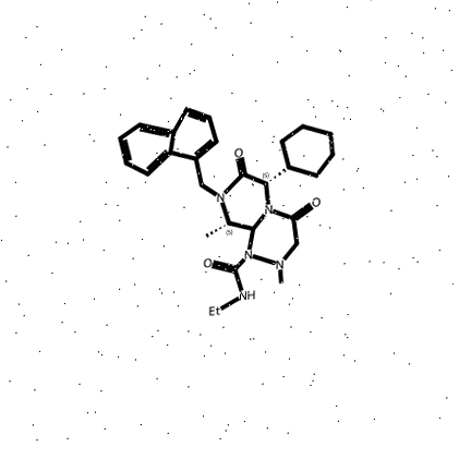 CCNC(=O)N1C2[C@H](C)N(Cc3cccc4ccccc34)C(=O)[C@H](C3CCCCC3)N2C(=O)CN1C